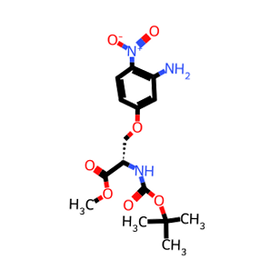 COC(=O)[C@H](COc1ccc([N+](=O)[O-])c(N)c1)NC(=O)OC(C)(C)C